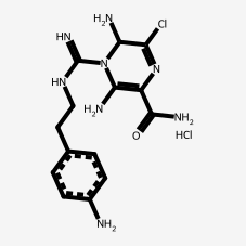 Cl.N=C(NCCc1ccc(N)cc1)N1C(N)=C(C(N)=O)N=C(Cl)C1N